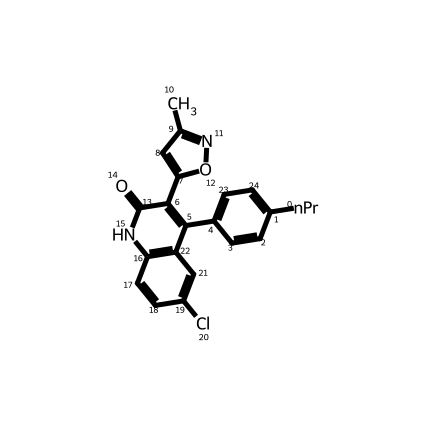 CCCc1ccc(-c2c(-c3cc(C)no3)c(=O)[nH]c3ccc(Cl)cc23)cc1